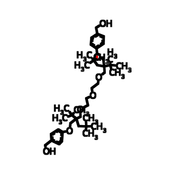 CC(C)(C)CC(COCCOCCOCC(COc1ccc(CO)cc1)(CC(C)(C)C)C(C)(C)C)(COc1ccc(CO)cc1)C(C)(C)C